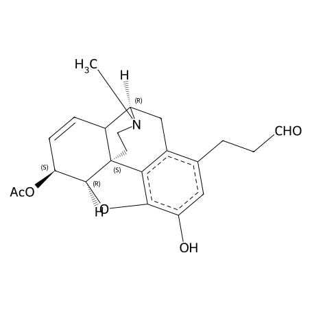 CC(=O)O[C@H]1C=CC2[C@H]3Cc4c(CCC=O)cc(O)c5c4[C@@]2(CCN3C)[C@H]1O5